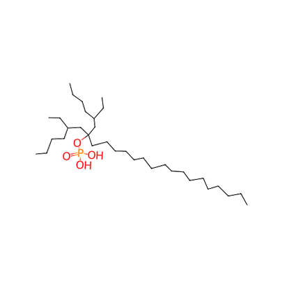 CCCCCCCCCCCCCCCCCC(CC(CC)CCCC)(CC(CC)CCCC)OP(=O)(O)O